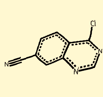 N#Cc1ccc2c(Cl)ncnc2c1